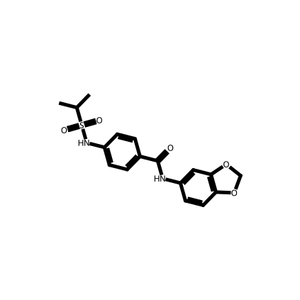 CC(C)S(=O)(=O)Nc1ccc(C(=O)Nc2ccc3c(c2)OCO3)cc1